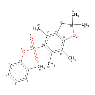 Cc1ccccc1OS(=O)(=O)c1c(C)c(C)c2c(c1C)CC(C)(C)O2